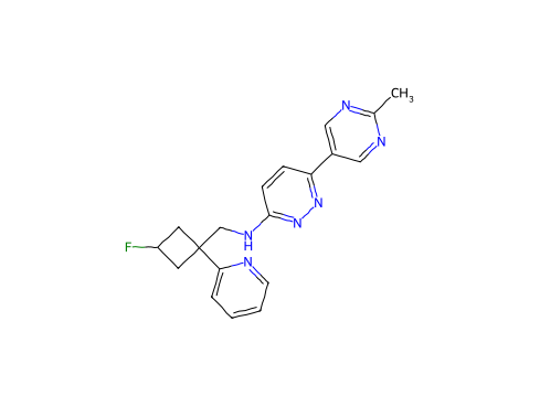 Cc1ncc(-c2ccc(NCC3(c4ccccn4)CC(F)C3)nn2)cn1